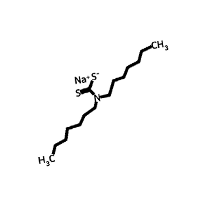 CCCCCCCN(CCCCCCC)C(=S)[S-].[Na+]